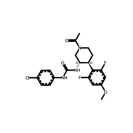 COc1cc(F)c([C@@H]2CCN(C(C)=O)C[C@H]2NC(=O)Nc2ccc(Cl)cc2)c(F)c1